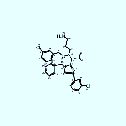 CC(C)[C@H](c1nc(-c2cccc(Cl)c2)cn1Cc1ccccc1)N(CCCN)OCc1cccc(Cl)c1